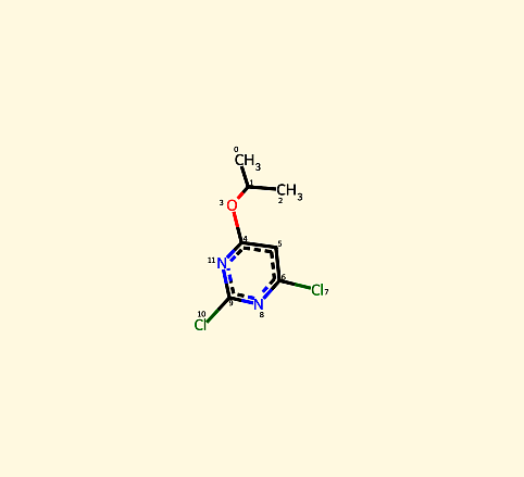 CC(C)Oc1cc(Cl)nc(Cl)n1